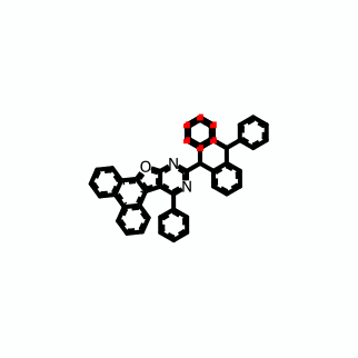 c1ccc(-c2nc(C34c5ccccc5C(c5ccccc5)(c5ccccc53)c3ccccc34)nc3oc4c5ccccc5c5ccccc5c4c23)cc1